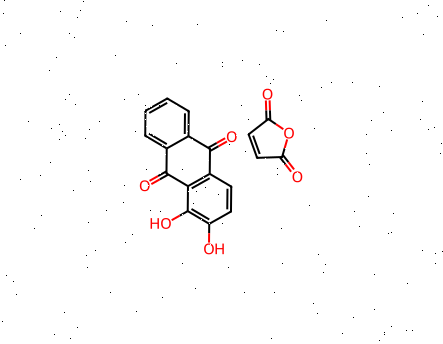 O=C1C=CC(=O)O1.O=C1c2ccccc2C(=O)c2c1ccc(O)c2O